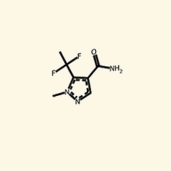 Cn1ncc(C(N)=O)c1C(C)(F)F